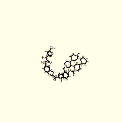 CN1CCN(C2CCN(Cc3c(OC(=O)N4CCC(N5CCCCC5)CC4)ccc4[nH]c(C(=O)C5Cc6cc(NC(=O)Nc7cc(C(C)(C)C)on7)ccc6O5)cc34)CC2)CC1